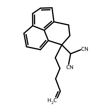 C=CCCCC1(C(C#N)C#N)CCc2cccc3cccc1c23